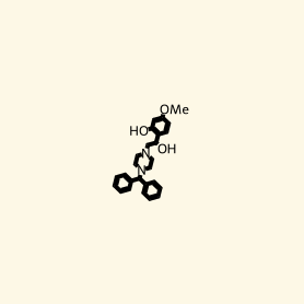 COc1ccc(C(O)CN2CCN(C(c3ccccc3)c3ccccc3)CC2)c(O)c1